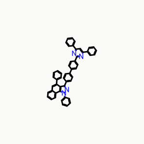 c1ccc(-c2cc(-c3ccccc3)nc(-c3ccc(-c4ccc(-c5nn(-c6ccccc6)c6c5c(-c5ccccc5)cc5ccccc56)cc4)cc3)n2)cc1